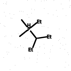 CCC(CC)[PH](C)(C)CC